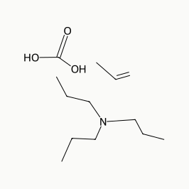 C=CC.CCCN(CCC)CCC.O=C(O)O